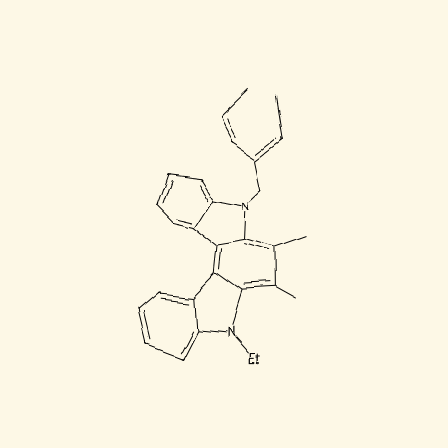 C/C=C\C(=C/C)Cn1c2ccccc2c2c3c4ccccc4n(CC)c3c(C)c(C)c21